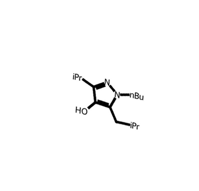 CCCCn1nc(C(C)C)c(O)c1CC(C)C